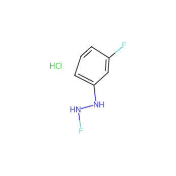 Cl.FNNc1cccc(F)c1